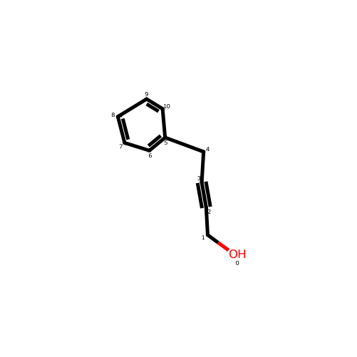 OCC#CCc1cc[c]cc1